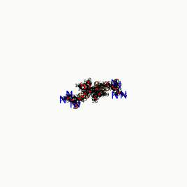 Cc1ccc(C2(c3ccc(C)cc3)c3cc4c(cc3-c3sc(-c5ccc(-c6ccc(C=C(C#N)C#N)c7nsnc67)s5)cc32)C(c2ccc(C)cc2)(c2ccc(C)cc2)c2c-4sc3cc(-c4ccc(-c5ccc(C=C(C#N)C#N)c6nsnc56)s4)sc23)cc1